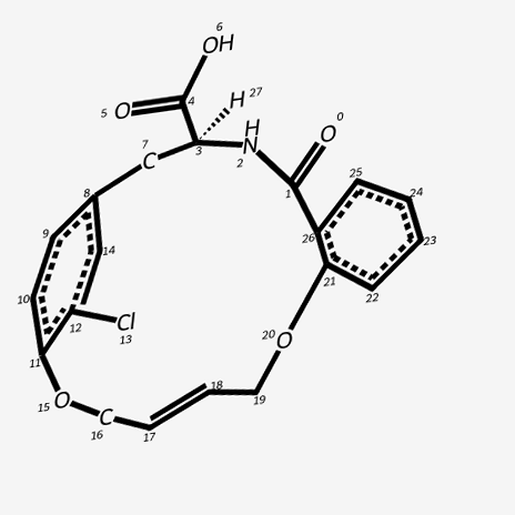 O=C1N[C@H](C(=O)O)Cc2ccc(c(Cl)c2)OC/C=C/COc2ccccc21